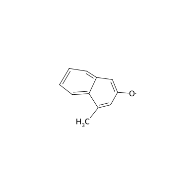 Cc1cc([O])cc2ccccc12